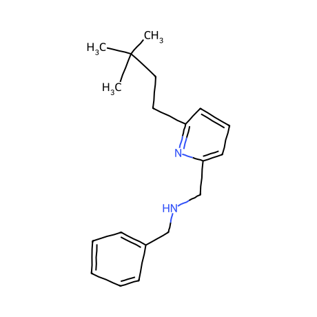 CC(C)(C)CCc1cccc(CNCc2ccccc2)n1